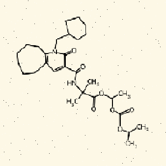 CC(C)OC(=O)OC(C)OC(=O)C(C)(C)NC(=O)c1cc2c(n(CC3CCCCC3)c1=O)CCCCCC2